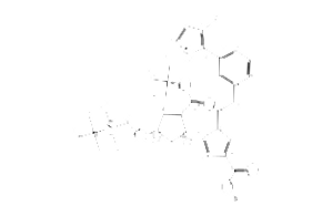 COC(=O)C1=CC(CCc2cccc(-c3sccc3C)c2)C([C@@H]2C[C@@H](OCS(C)(C)C(C)(C)C)CC2C(=O)OC(C)(C)C)=C1